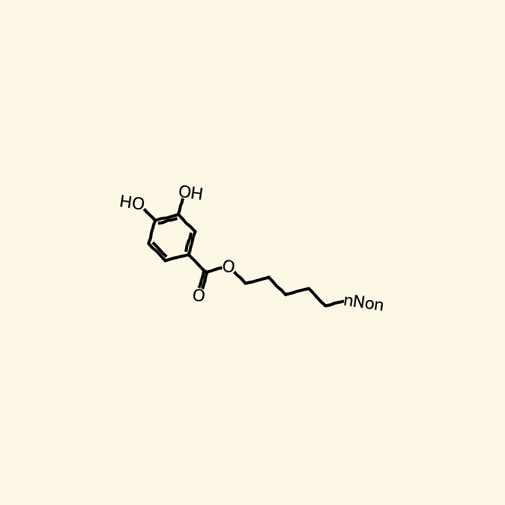 CCCCCCCCCCCCCCOC(=O)c1ccc(O)c(O)c1